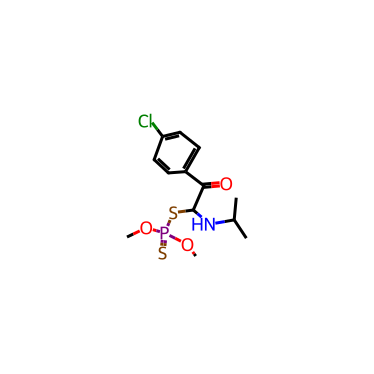 COP(=S)(OC)SC(NC(C)C)C(=O)c1ccc(Cl)cc1